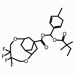 CCC(C)(C)C(=O)OC(OC(=O)C12CC3CC(C1)C(C2)OCC(F)(F)C(F)(F)CO3)C1=CCC(C)C=C1